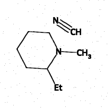 C#N.CCC1CCCCN1C